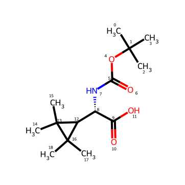 CC(C)(C)OC(=O)N[C@H](C(=O)O)C1C(C)(C)C1(C)C